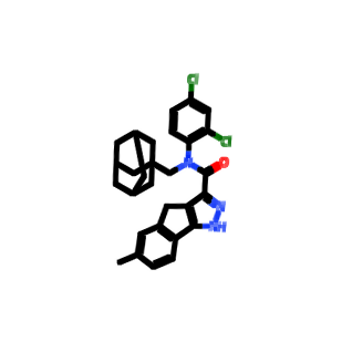 Cc1ccc2c(c1)Cc1c(C(=O)N(CC34CC5CC(CC(C5)C3)C4)c3ccc(Cl)cc3Cl)n[nH]c1-2